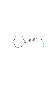 FCC#CC1CC[CH]CC1